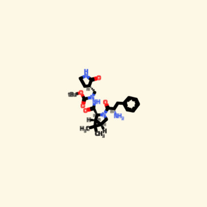 CC(C)(C)OC(=O)N(C[C@@H]1CCNC1=O)NC(=O)[C@@H]1[C@@H]2[C@H](CN1C(=O)[C@@H](N)Cc1ccccc1)C2(C)C